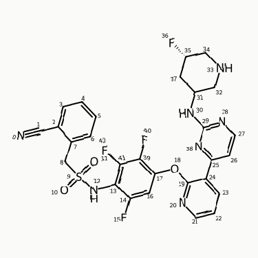 N#Cc1ccccc1CS(=O)(=O)Nc1c(F)cc(Oc2ncccc2-c2ccnc(NC3CNC[C@@H](F)C3)n2)c(F)c1F